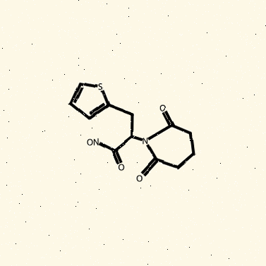 O=NC(=O)C(Cc1cccs1)N1C(=O)CCCC1=O